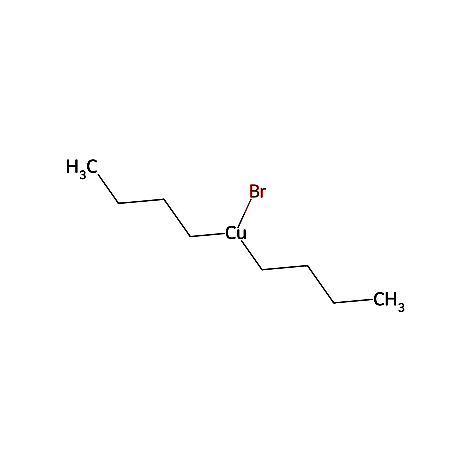 CCC[CH2][Cu]([Br])[CH2]CCC